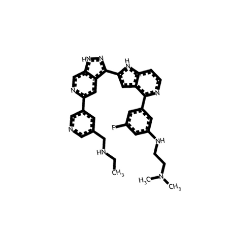 CCNCc1cncc(-c2cc3c(-c4cc5c(-c6cc(F)cc(NCCN(C)C)c6)nccc5[nH]4)n[nH]c3cn2)c1